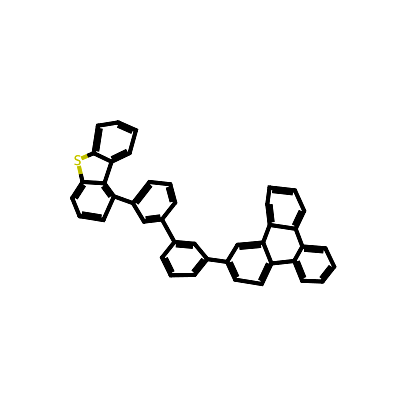 c1cc(-c2cccc(-c3cccc4sc5ccccc5c34)c2)cc(-c2ccc3c4ccccc4c4ccccc4c3c2)c1